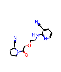 N#Cc1cccnc1NCCOCC(=O)N1CCC[C@H]1C#N